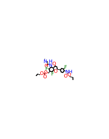 C=CCOC(=O)Nc1ccc(-c2cc(=O)c3c(NC(=O)CN(C)C)c(F)c(COC(=O)OCC=C)c(F)c3o2)cc1F